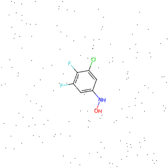 ONc1cc(F)c(F)c(Cl)c1